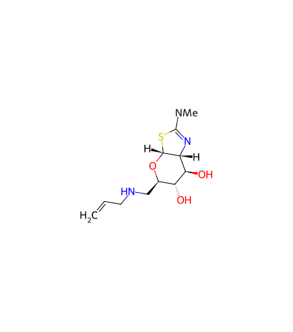 C=CCNC[C@H]1O[C@@H]2SC(NC)=N[C@@H]2[C@@H](O)[C@@H]1O